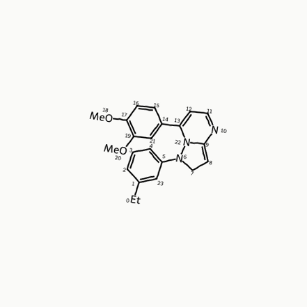 CCc1cccc(N2CC=C3N=CC=C(c4ccc(OC)c(OC)c4)N32)c1